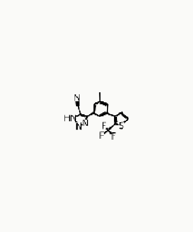 Cc1cc(-c2ccsc2C(F)(F)F)cc(-c2nn[nH]c2C#N)c1